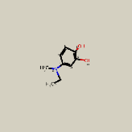 CCN(C)c1ccc(O)c(O)c1